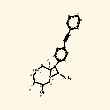 C[C@@H]1[C@H](c2ccc(C#Cc3ccccc3)cc2)[C@@H]2CNCC(O)C(O)CN12